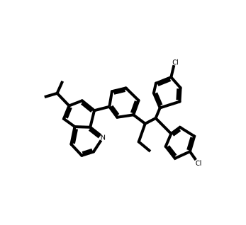 CCC(c1cccc(-c2cc(C(C)C)cc3cccnc23)c1)C(c1ccc(Cl)cc1)c1ccc(Cl)cc1